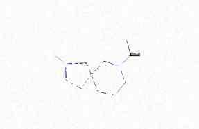 C=C(C)N1CCCC2(CCN(C(C)(C)C)C2)C1